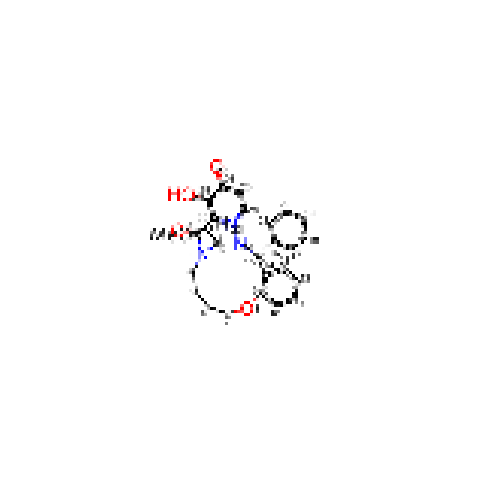 COC[C@@H]1N2CCCCOc3ccccc3[C@@H](c3ccccc3)N1n1ccc(=O)c(O)c1C2=O